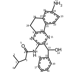 CC(C)CC(=O)Nc1nc2c(nc1C(O)c1ccccc1)-c1ccc(N)cc1CC2